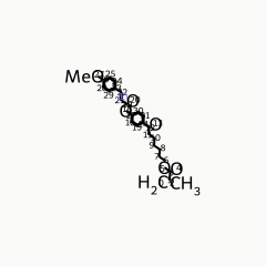 C=C(C)C(=O)OCCCCCCC(=O)c1ccc(OC(=O)/C=C/c2ccc(OC)cc2)cc1